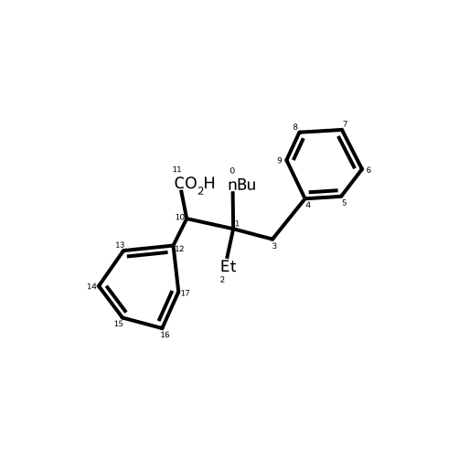 CCCCC(CC)(Cc1ccccc1)C(C(=O)O)c1ccccc1